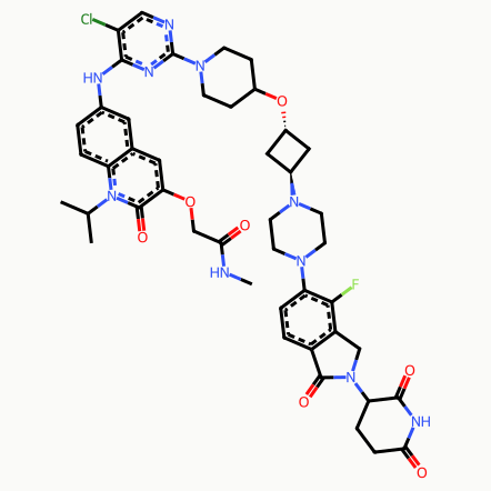 CNC(=O)COc1cc2cc(Nc3nc(N4CCC(O[C@H]5C[C@H](N6CCN(c7ccc8c(c7F)CN(C7CCC(=O)NC7=O)C8=O)CC6)C5)CC4)ncc3Cl)ccc2n(C(C)C)c1=O